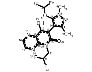 Cc1nn(C)c(OC(F)F)c1-c1c(O)c2nccnc2n(CC(F)F)c1=O